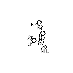 CC(C)Oc1ccc(C(=O)N[C@H](CNC(=O)CN)Cc2ccc(-c3cn4cccc(Br)c4n3)cc2)cc1Cl